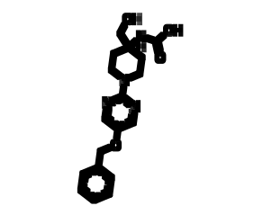 O=C(O)NC1(CO)CCN(c2ncc(OCc3ccccc3)cn2)CC1